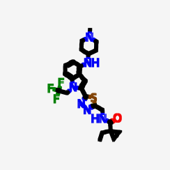 CCC1(C(=O)NCc2nnc(-c3cc4c(NC5CCN(C)CC5)cccc4n3CC(F)(F)F)s2)CC1